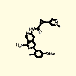 COc1ccc(C)c(-c2cc3cc(NC(=O)C4CC4c4cnn(C)c4)ncc3c(N)n2)c1